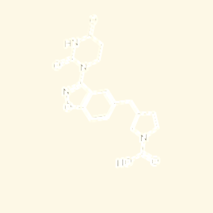 O=C1CCN(c2noc3ccc(CC4CCN(C(=O)O)C4)cc23)C(=O)N1